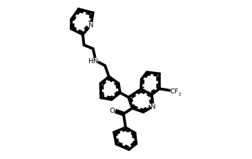 O=C(c1ccccc1)c1cnc2c(C(F)(F)F)cccc2c1-c1cccc(CNCCc2ccccn2)c1